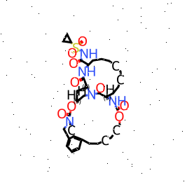 O=C1N[C@H]2CCCCCCCCC(C(=O)NS(=O)(=O)C3CC3)NC(=O)[C@@H]3C[C@@H](CN3C2=O)OC(=O)N2Cc3cccc(c3C2)CCCCCCO1